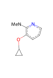 CNc1ncccc1OC1CC1